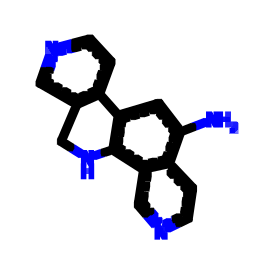 Nc1cc2c(c3cnccc13)NCc1cnccc1-2